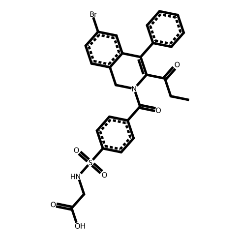 CCC(=O)C1=C(c2ccccc2)c2cc(Br)ccc2CN1C(=O)c1ccc(S(=O)(=O)NCC(=O)O)cc1